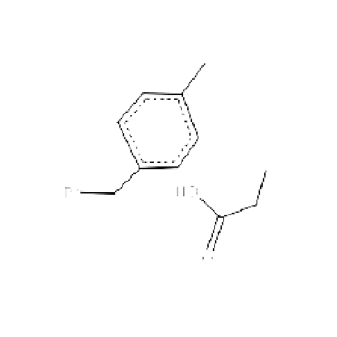 CCC(=O)O.Cc1ccc(CC(C)C)cc1